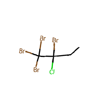 CCC(Cl)(Br)C(Br)(Br)Br